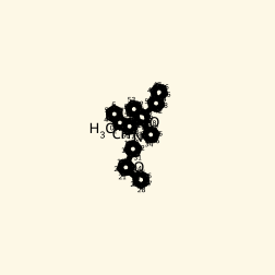 CC1(C)c2ccccc2-c2ccc(N(c3ccc(-c4cccc5c4oc4ccccc45)cc3)c3cccc4oc5c(-c6ccc7ccccc7c6)c6ccccc6cc5c34)cc21